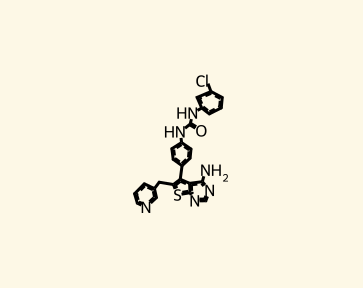 Nc1ncnc2sc(Cc3cccnc3)c(-c3ccc(NC(=O)Nc4cccc(Cl)c4)cc3)c12